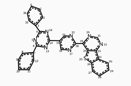 c1ccc(-c2nc(-c3ccccc3)nc(-c3cnc(-c4ncnc5c4sc4ccccc45)nc3)n2)cc1